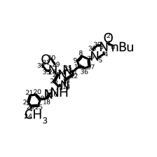 CCCCC(=O)N1CCN(c2ccc(-c3cc4nc(NN=Cc5cccc(C)c5)cc(N5CCOCC5)n4n3)cc2)CC1